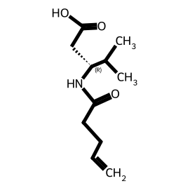 C=CCCC(=O)N[C@H](CC(=O)O)C(C)C